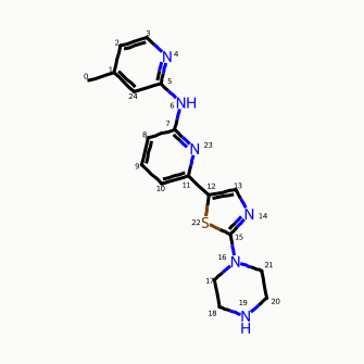 Cc1ccnc(Nc2cccc(-c3cnc(N4CCNCC4)s3)n2)c1